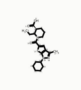 CCC1[C@@H](C(=O)O)CCCN1C(=O)c1cc2c(C)nn(C3CCCCC3)c2s1